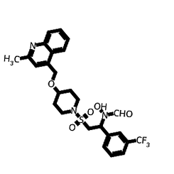 Cc1cc(COC2CCN(S(=O)(=O)CC(c3cccc(C(F)(F)F)c3)N(O)C=O)CC2)c2ccccc2n1